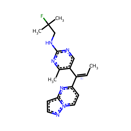 C/C=C(/c1ccn2nccc2n1)c1cnc(NCC(C)(C)F)nc1C